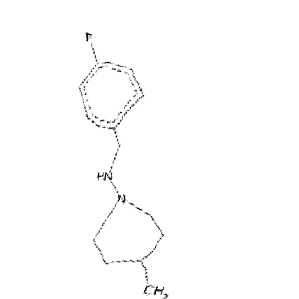 CC1CCN(NCc2ccc(F)cc2)CC1